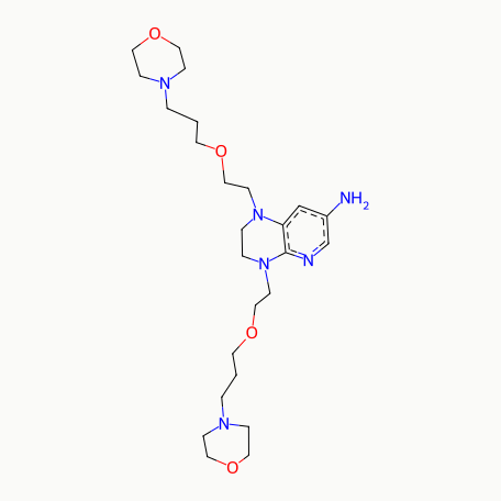 Nc1cnc2c(c1)N(CCOCCCN1CCOCC1)CCN2CCOCCCN1CCOCC1